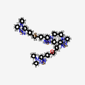 c1ccc(N(c2ccccc2)c2ccc(-c3ccc(-c4ccc(-c5ccc(-c6ccc(N(c7ccccc7)c7cccc(-c8cccc(N(c9ccccc9)c9ccc(-c%10ccc(-c%11ccc(-c%12ccc(-c%13ccc(N(c%14ccccc%14)c%14ccccc%14)c%14c%13N=S=N%14)cc%12)s%11)cc%10)c%10c9N=S=N%10)c8)c7)c7c6N=S=N7)cc5)o4)cc3)c3c2N=S=N3)cc1